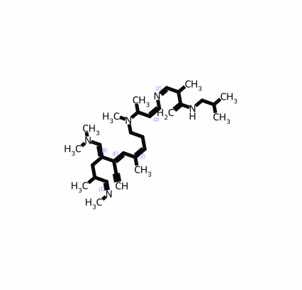 C#CC(=C\C(C)=C/CCN(C)C(C)/C=C\N=C/C(C)C(=C)NCC(C)C)/C(=C/N(C)C)CC(C)/C=N\C